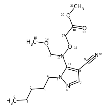 CCCCCn1ncc(C#N)c1N(COC)OCC(=O)OC